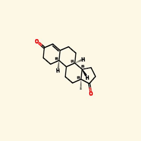 C[C@]12CCC3[C@@H](CCC4=CC(=O)CC[C@@H]43)[C@@H]1CCC2=O